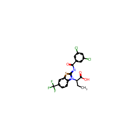 CCC(C(=O)O)n1/c(=N/C(=O)c2cc(Cl)cc(Cl)c2)sc2cc(C(F)(F)F)ccc21